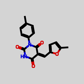 Cc1ccc(N2C(=O)NC(=O)C(=Cc3ccc(C)o3)C2=O)cc1